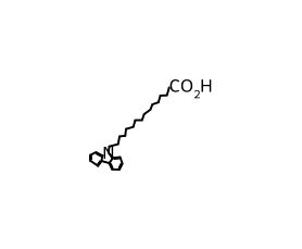 O=C(O)CCCCCCCCCCCCCCCn1c2ccccc2c2ccccc21